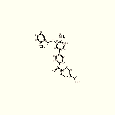 CC(C=O)N1CCN(C(=O)c2ccc(-c3cnc(N)c(OCc4ccccc4C(F)(F)F)c3)cc2)CC1